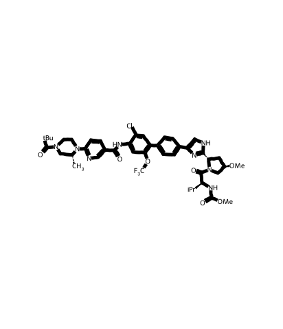 COC(=O)N[C@H](C(=O)N1C[C@H](OC)C[C@H]1c1nc(-c2ccc(-c3cc(Cl)c(NC(=O)c4ccc(N5CCN(C(=O)C(C)(C)C)C[C@H]5C)nc4)cc3OC(F)(F)F)cc2)c[nH]1)C(C)C